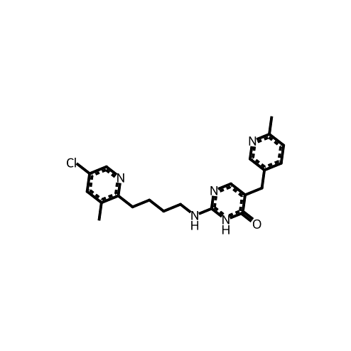 Cc1ccc(Cc2cnc(NCCCCc3ncc(Cl)cc3C)[nH]c2=O)cn1